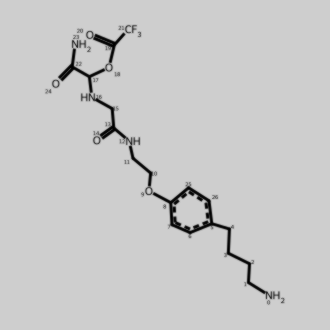 NCCCCc1ccc(OCCNC(=O)CNC(OC(=O)C(F)(F)F)C(N)=O)cc1